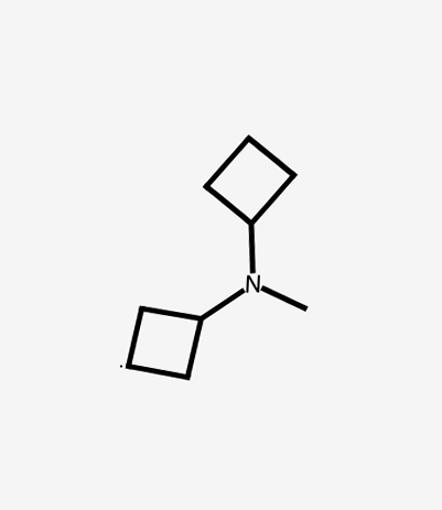 CN(C1C[CH]C1)C1CCC1